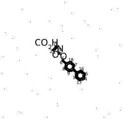 O=C(O)c1coc(OCc2ccc(-c3ccccc3)cc2)n1